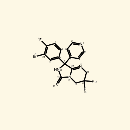 Fc1ccc(C2(c3ccncc3)NC(=S)N3CC(F)(F)CN=C32)cc1Br